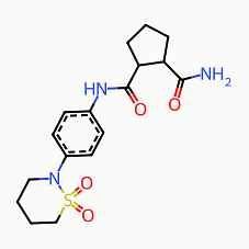 NC(=O)C1CCCC1C(=O)Nc1ccc(N2CCCCS2(=O)=O)cc1